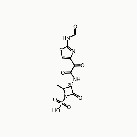 CC1[C@H](NC(=O)C(=O)c2csc(NC=O)n2)C(=O)N1S(=O)(=O)O